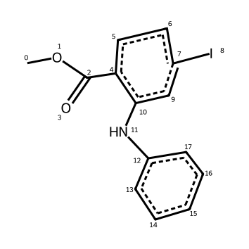 COC(=O)c1ccc(I)cc1Nc1ccccc1